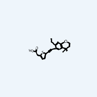 CCc1cc2c(cc1C#Cc1ccc(CC(=O)O)s1)C(C)(C)CCO2